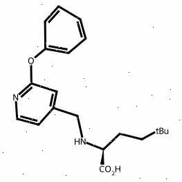 CC(C)(C)CC[C@H](NCc1ccnc(Oc2ccccc2)c1)C(=O)O